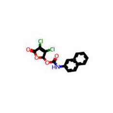 O=C(Nc1ccc2ccccc2c1)OC1OC(=O)C(Cl)=C1Cl